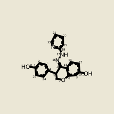 Oc1ccc(C2COc3cc(O)ccc3C2=NNc2ccccn2)cc1